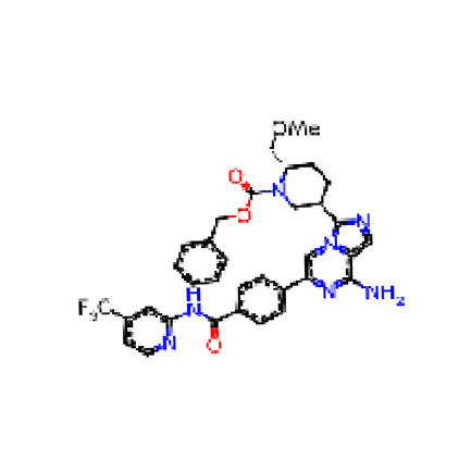 COC[C@@H]1CC[C@@H](c2ncc3c(N)nc(-c4ccc(C(=O)Nc5cc(C(F)(F)F)ccn5)cc4)cn23)CN1C(=O)OCc1ccccc1